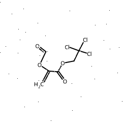 C=C(O[C]=O)C(=O)OCC(Cl)(Cl)Cl